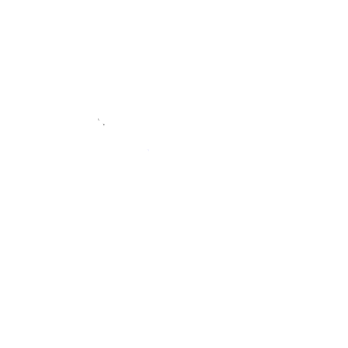 CN(C)/C=C/CCC(C)(C)C